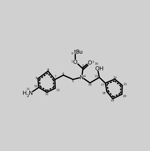 CC(C)(C)OC(=O)N(CCc1ccc(N)cc1)CC(O)c1ccccc1